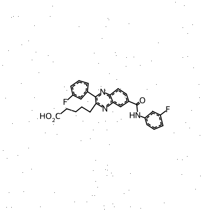 O=C(O)CCCCc1nc2cc(C(=O)Nc3cccc(F)c3)ccc2nc1-c1cccc(F)c1